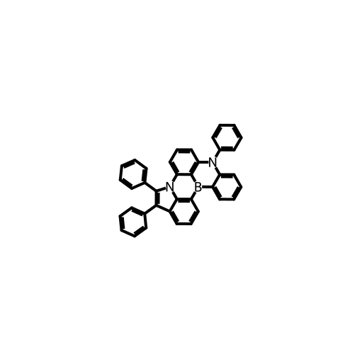 c1ccc(-c2c(-c3ccccc3)n3c4c(cccc24)B2c4ccccc4N(c4ccccc4)c4cccc-3c42)cc1